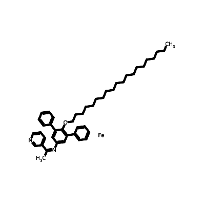 CCCCCCCCCCCCCCCCCCCCOc1c(-c2ccccc2)cc(N=C(C)c2cccnc2)cc1-c1ccccc1.[Fe]